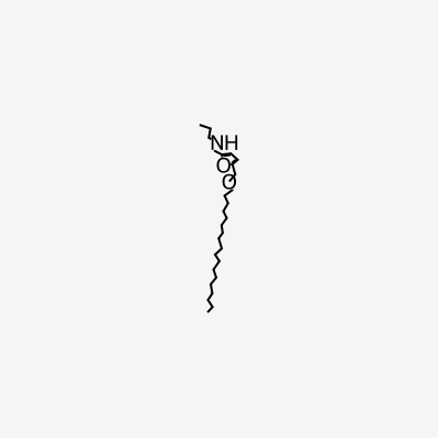 CCCCCCCCCCCCCCCCCCOCc1ccc(CNCCC)o1